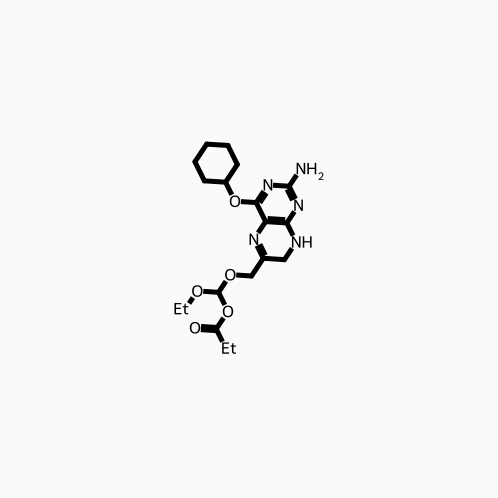 CCOC(OCC1=Nc2c(nc(N)nc2OC2CCCCC2)NC1)OC(=O)CC